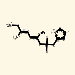 CCC/C(=C\C=C(/N)CC(C)(C)C)CC(C)(C)Cc1ccc[nH]1